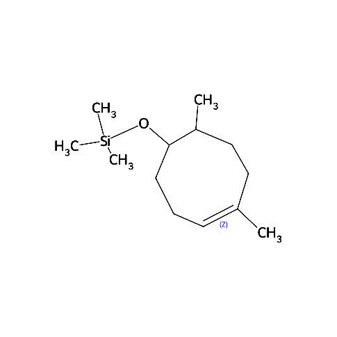 C/C1=C/CCC(O[Si](C)(C)C)C(C)CC1